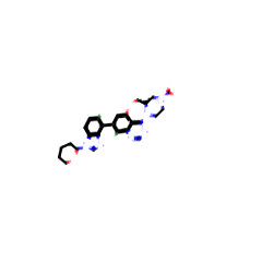 O=C(O)N1CCN2c3ncnc4c(F)c(-c5c(F)ccc6c5ncn6C5CCCCO5)cc(c34)OC[C@@H]2C1